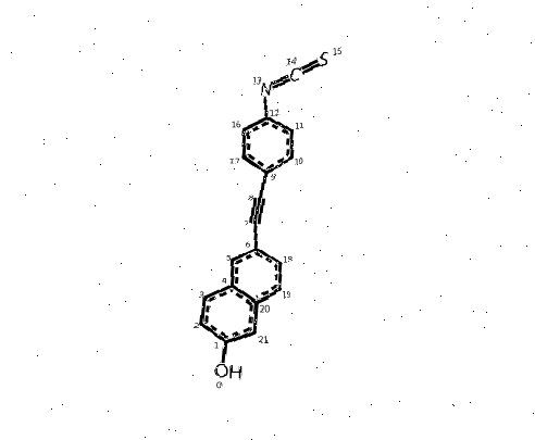 Oc1ccc2cc(C#Cc3ccc(N=C=S)cc3)ccc2c1